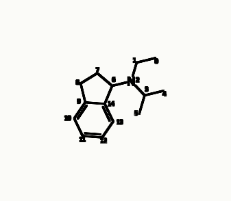 CCN(C(C)C)C1CCc2ccccc21